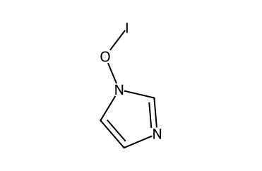 IOn1ccnc1